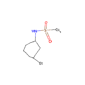 CCC1CCCC(NS(C)(=O)=O)C1